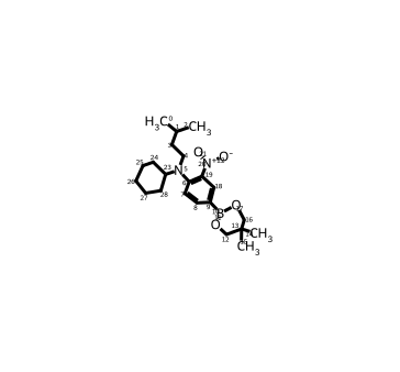 CC(C)CCN(c1ccc(B2OCC(C)(C)CO2)cc1[N+](=O)[O-])C1CCCCC1